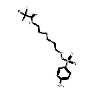 Cc1ccc(S(=O)(=O)SNCCCCCCNC(=O)C(F)(F)F)cc1